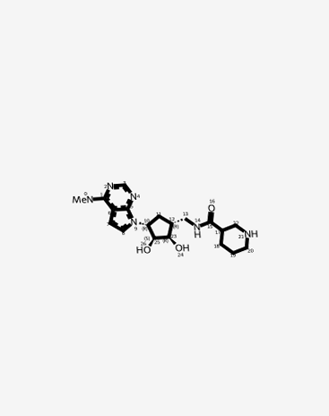 CNc1ncnc2c1ccn2[C@@H]1C[C@H](CNC(=O)C2CCCNC2)[C@@H](O)[C@H]1O